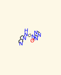 Cn1c(=O)n([C@H]2C[C@H](Nc3ccc4ccncc4n3)C2)c2nccnc21